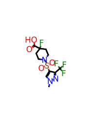 Cn1cc(S(=O)(=O)N2CCC(F)(C(=O)O)CC2)c(C(F)(F)F)n1